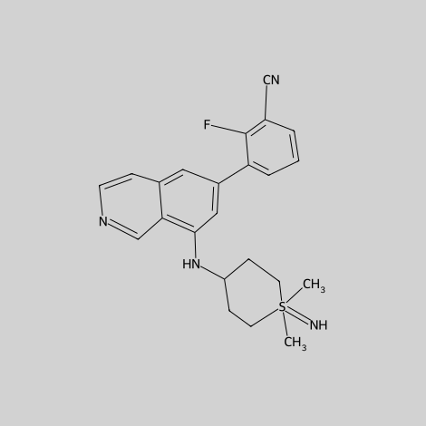 CS1(C)(=N)CCC(Nc2cc(-c3cccc(C#N)c3F)cc3ccncc23)CC1